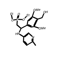 CCOP(=O)(CC(Nc1ccc(C)nc1)c1cc(OC)c(CO)c(OC)c1)OCC